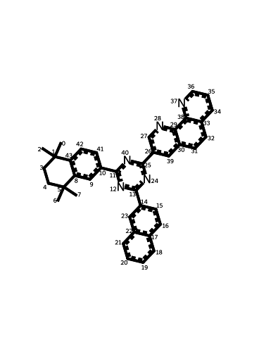 CC1(C)CCC(C)(C)c2cc(-c3nc(-c4ccc5ccccc5c4)nc(-c4cnc5c(ccc6cccnc65)c4)n3)ccc21